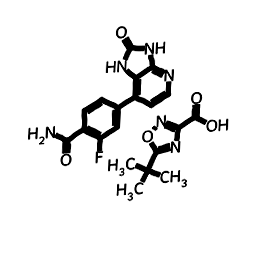 CC(C)(C)c1nc(C(=O)O)no1.NC(=O)c1ccc(-c2ccnc3[nH]c(=O)[nH]c23)cc1F